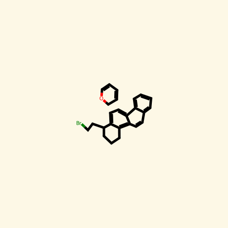 BrCCC1CCCc2c1ccc1c2ccc2ccccc21.C1=CCOC=C1